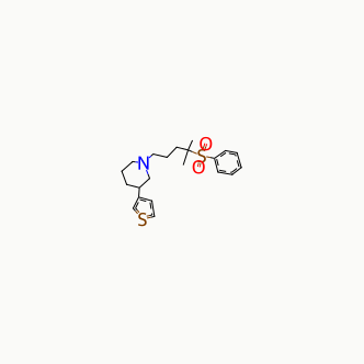 CC(C)(CCCN1CCCC(c2ccsc2)C1)S(=O)(=O)c1ccccc1